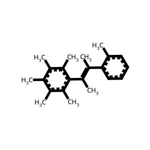 CC(=C(C)c1c(C)c(C)c(C)c(C)c1C)c1ccccc1C